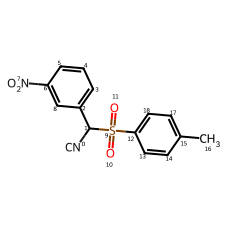 [C-]#[N+]C(c1cccc([N+](=O)[O-])c1)S(=O)(=O)c1ccc(C)cc1